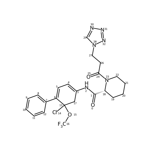 O=C(NC1=CC=C(c2ccccc2)C(Cl)(OC(F)(F)F)C1)[C@H]1CCCCN1C(=O)CCn1cnnn1